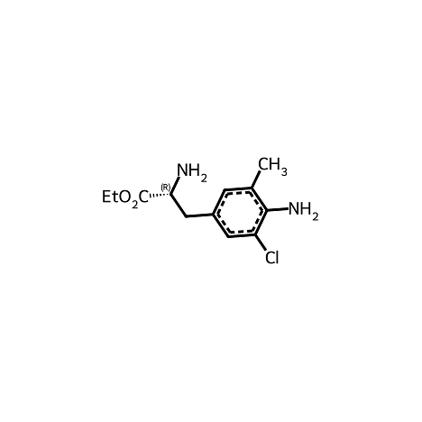 CCOC(=O)[C@H](N)Cc1cc(C)c(N)c(Cl)c1